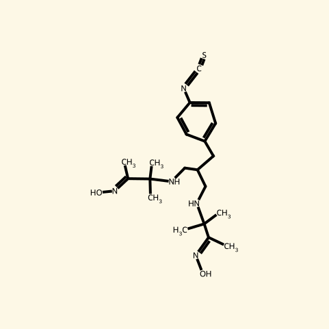 CC(=NO)C(C)(C)NCC(CNC(C)(C)C(C)=NO)Cc1ccc(N=C=S)cc1